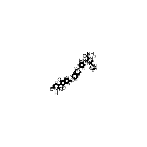 NC(=O)c1ncc(-c2nccs2)nc1Nc1ccc(N2CCC3(CCN(Cc4ccc5c(c4)C(=O)C(C4CCC(=O)NC4=O)C5=O)CC3)CC2)cc1